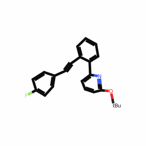 CC(C)(C)Oc1cccc(-c2ccccc2C#Cc2ccc(F)cc2)n1